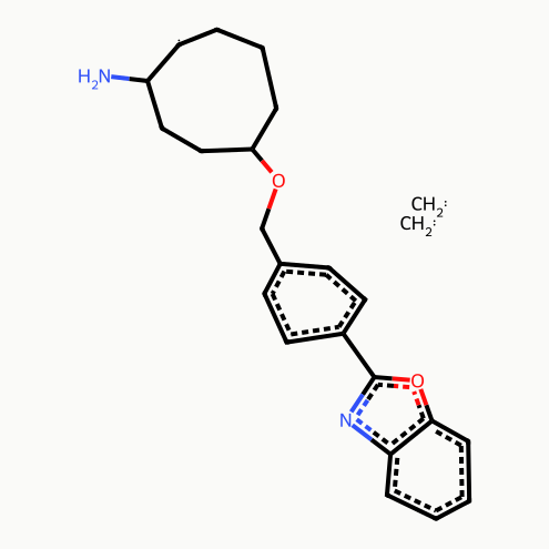 NC1[CH]CCCC(OCc2ccc(-c3nc4ccccc4o3)cc2)CC1.[CH2].[CH2]